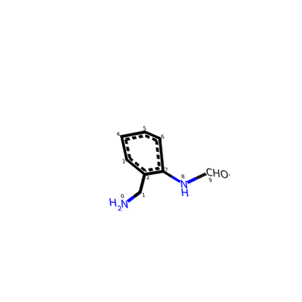 NCc1ccccc1N[C]=O